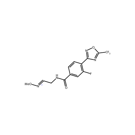 CO/N=C/CNC(=O)c1ccc(-c2noc(C(F)(F)F)n2)c(F)c1